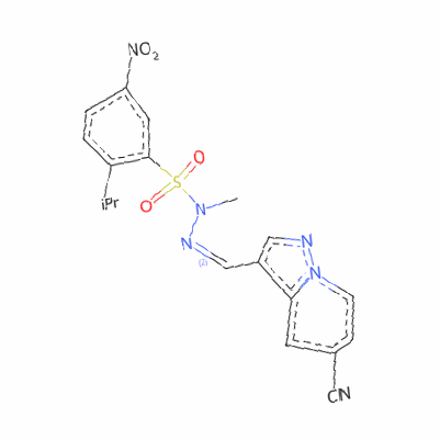 CC(C)c1ccc([N+](=O)[O-])cc1S(=O)(=O)N(C)/N=C\c1cnn2ccc(C#N)cc12